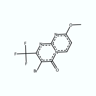 COc1ccn2c(=O)c(Br)c(C(F)(F)F)nc2n1